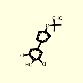 CC(C)(C=O)Oc1ccc(-c2cc(Cl)c(O)c(Cl)c2)cc1